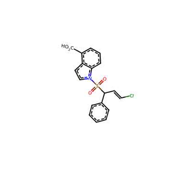 O=C(O)c1cccc2c1ccn2S(=O)(=O)C(C=CCl)c1ccccc1